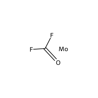 O=C(F)F.[Mo]